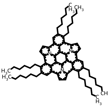 CCCCCCc1cc2c3c(c1CCCCCC)c1ccc4c5cc(CCCCCC)c(CCCCCC)c6c5c5c(c3c3c7c8c(cc(CCCCCC)c(CCCCCC)c8c8ccc2n83)c2ccc6n2c57)n41